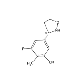 Cc1c(F)cc([C@@H]2CCON2)cc1C#N